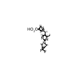 Cc1nc(N2CC3C(C2)C3(F)F)ncc1Cn1cc(C(=O)O)cn1